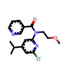 COCCN(C(=O)c1cccnc1)c1cc(C(C)C)cc(Cl)n1